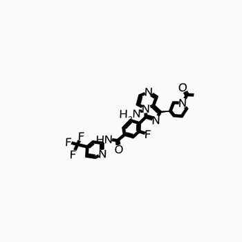 CC(=O)N1CCC[C@@H](C2=C3C=NC=C[N+]3(N)C(c3ccc(C(=O)Nc4cc(C(F)(F)F)ccn4)cc3F)=N2)C1